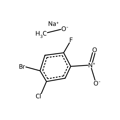 C[O-].O=[N+]([O-])c1cc(Cl)c(Br)cc1F.[Na+]